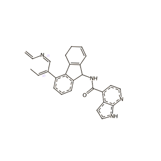 C=C/N=C\C(=C/C)c1cccc2c1C1=C(C=CCC1)C2NC(=O)c1ccnc2[nH]ccc12